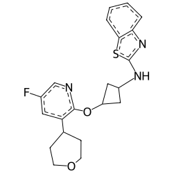 Fc1cnc(OC2CC(Nc3nc4ccccc4s3)C2)c(C2CCOCC2)c1